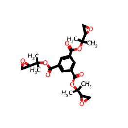 CC(C)(OC(=O)c1cc(C(=O)OC(C)(C)C2CO2)cc(C(=O)OC(C)(C)C2CO2)c1)C1CO1